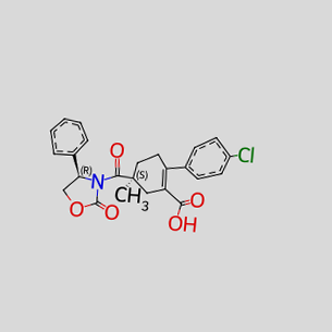 C[C@]1(C(=O)N2C(=O)OC[C@H]2c2ccccc2)CCC(c2ccc(Cl)cc2)=C(C(=O)O)C1